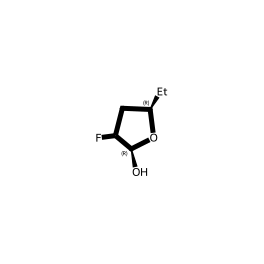 CC[C@@H]1CC(F)[C@H](O)O1